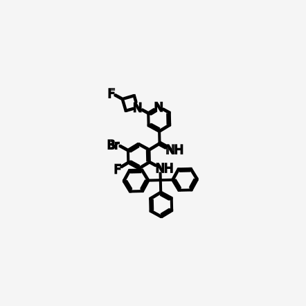 N=C(c1ccnc(N2CC(F)C2)c1)c1cc(Br)c(F)cc1NC(c1ccccc1)(c1ccccc1)c1ccccc1